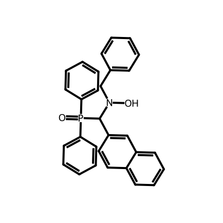 O=P(c1ccccc1)(c1ccccc1)C(c1ccc2ccccc2c1)N(O)Cc1ccccc1